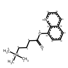 C[N+](C)(C)CCCC(=O)Oc1cccc2cccnc12